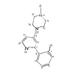 Cc1ccccc1-c1cc(N2CCN(C)CC2)ccn1